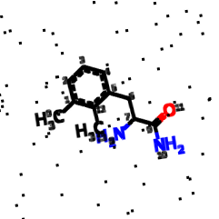 Cc1cccc(CC(N)C(N)=O)c1C